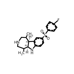 CC1CNCC(C)[C@@H]2Nc3ccc(S(=O)(=O)c4ccc(F)cc4)cc3[C@H]12